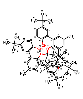 Cc1cc(-c2cc(C(C)(C)C)cc(C(C)(C)C)c2)c(OC2(Oc3c(-c4cc(C(C)(C)C)cc(C(C)(C)C)c4)cc(C)cc3-c3cc(C(C)(C)C)ccc3O)CCCCC2)c(-c2cc(C(C)(C)C)ccc2O)c1